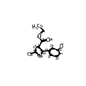 CCOC(=O)c1sc(Cl)nc1-c1cccc(Cl)c1